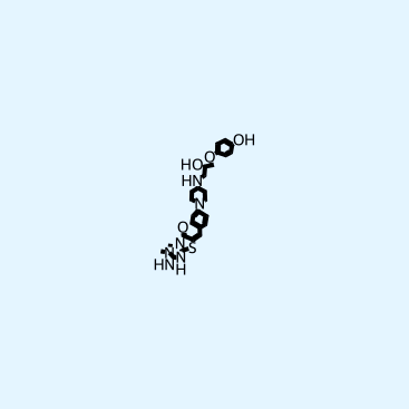 CN(C)C(=N)NC1=NC(=O)/C(=C\c2ccc(N3CCC(NC[C@H](O)COc4ccc(O)cc4)CC3)cc2)S1